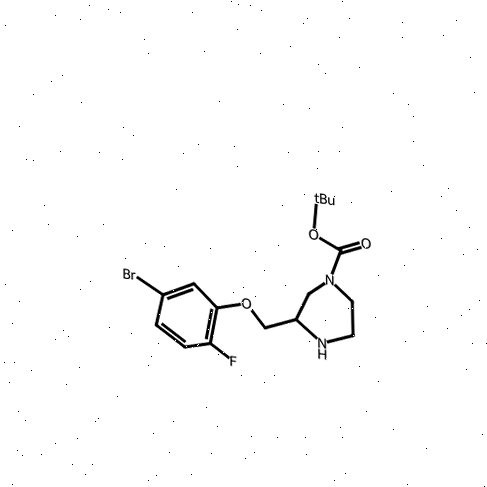 CC(C)(C)OC(=O)N1CCNC(COc2cc(Br)ccc2F)C1